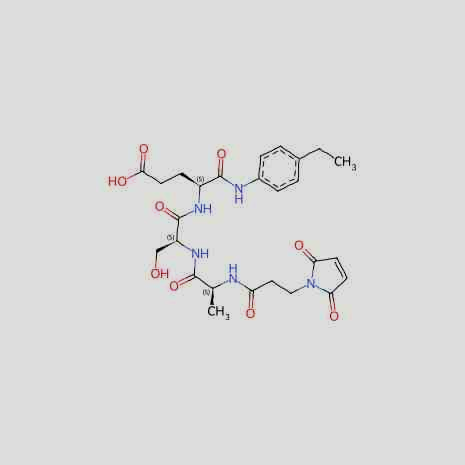 CCc1ccc(NC(=O)[C@H](CCC(=O)O)NC(=O)[C@H](CO)NC(=O)[C@H](C)NC(=O)CCN2C(=O)C=CC2=O)cc1